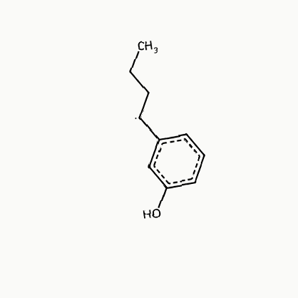 CCC[CH]c1cccc(O)c1